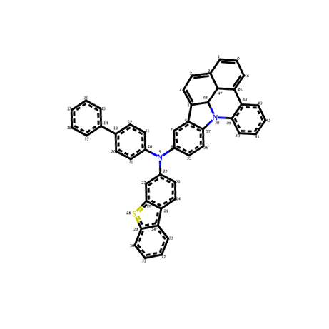 C1=CC2=CC=C3c4cc(N(c5ccc(-c6ccccc6)cc5)c5ccc6c(c5)sc5ccccc56)ccc4N4c5ccccc5C(=C1)C2C34